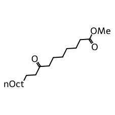 CCCCCCCCCCC(=O)CCCCCCC(=O)OC